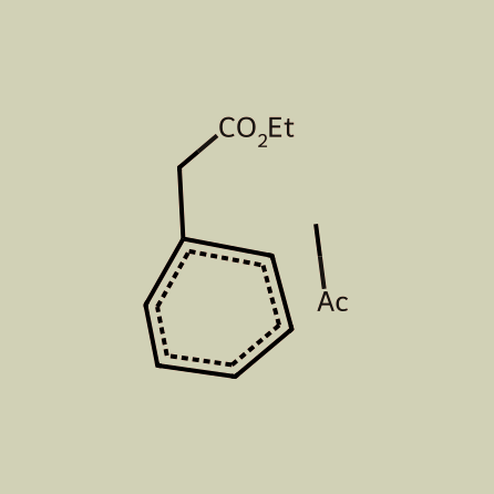 CC(C)=O.CCOC(=O)Cc1ccccc1